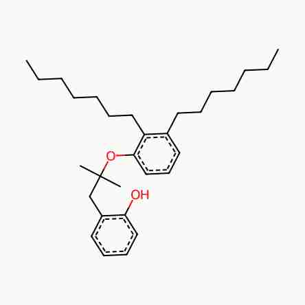 CCCCCCCc1cccc(OC(C)(C)Cc2ccccc2O)c1CCCCCCC